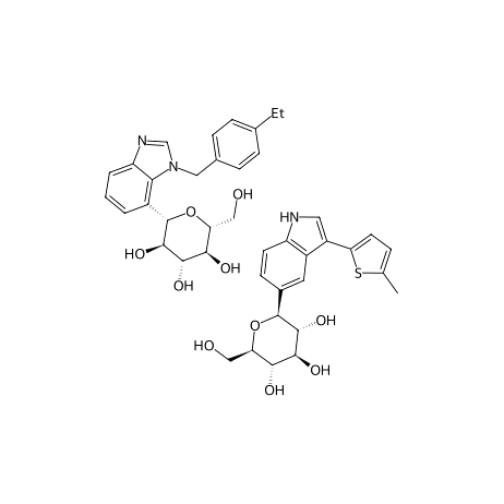 CCc1ccc(Cn2cnc3cccc([C@@H]4O[C@H](CO)[C@@H](O)[C@H](O)[C@H]4O)c32)cc1.Cc1ccc(-c2c[nH]c3ccc([C@@H]4O[C@H](CO)[C@@H](O)[C@H](O)[C@H]4O)cc23)s1